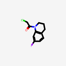 O=C(CCl)N1CCCc2ccc(I)cc21